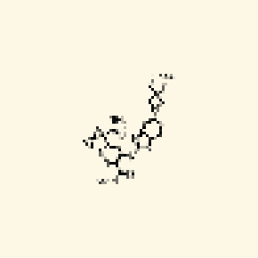 CNC(=O)c1nnc([C@@]2(C(N)=O)CC23CC3)cc1Nc1nc2ccc(N3CC(F)(COC)C3)cn2n1